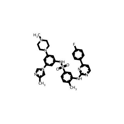 Cc1cn(-c2cc(NS(=O)(=O)c3ccc(C)c(Nc4nccc(-c5ccc(F)cc5)n4)c3)cc(N3CCN(C)CC3)c2)cn1